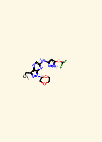 CCc1nn([C@@H]2COCCO2)c2nc(Nc3cc(OC(F)F)[nH]n3)cnc12